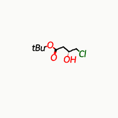 CC(C)(C)OC(=O)C[C@@H](O)CCl